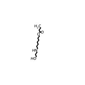 CCCC(=O)OCCCCCCCNCCCO